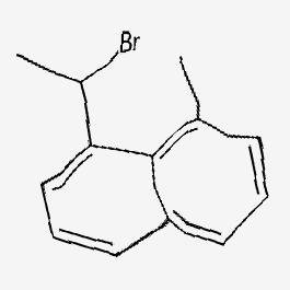 Cc1cccc2cccc(C(C)Br)c12